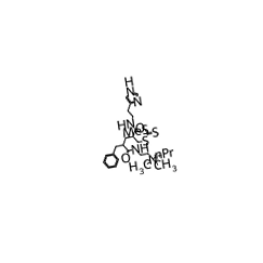 CCC[N+](C)(C)CCNC(=O)C(Cc1ccccc1)CC(CSC(=S)SC)C(=O)NCCc1c[nH]cn1